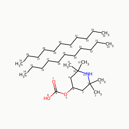 CC1(C)CC(OC(=O)O)CC(C)(C)N1.CCCCCCCCCCC.CCCCCCCCCCC